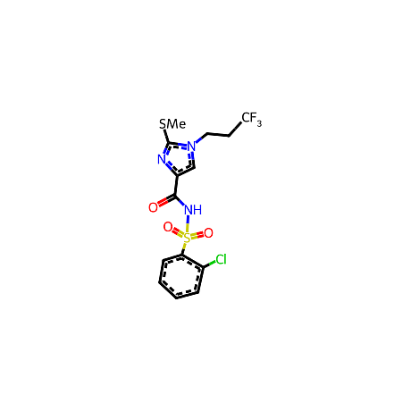 CSc1nc(C(=O)NS(=O)(=O)c2ccccc2Cl)cn1CCC(F)(F)F